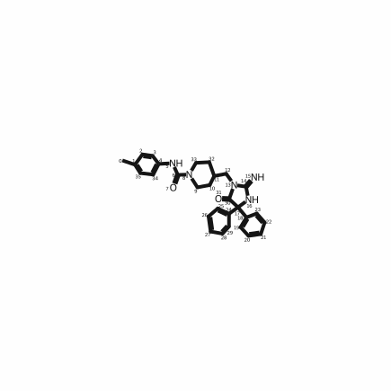 Cc1ccc(NC(=O)N2CCC(CN3C(=N)NC(c4ccccc4)(c4ccccc4)C3=O)CC2)cc1